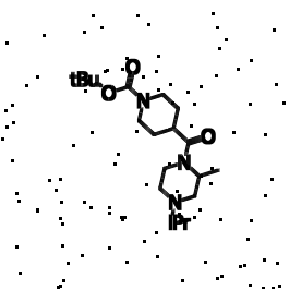 CC(C)N1CCN(C(=O)C2CCN(C(=O)OC(C)(C)C)CC2)C(C)C1